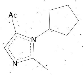 CC(=O)c1cnc(C)n1C1CCCC1